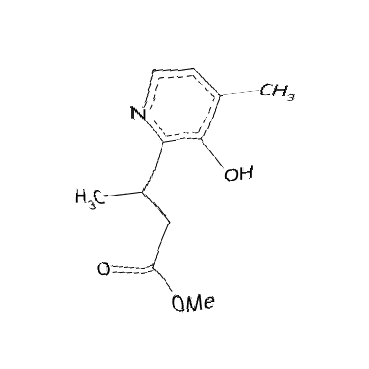 COC(=O)CC(C)c1nccc(C)c1O